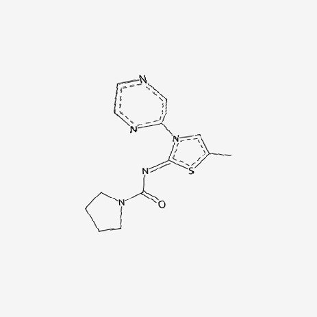 Cc1cn(-c2cnccn2)/c(=N/C(=O)N2CCCC2)s1